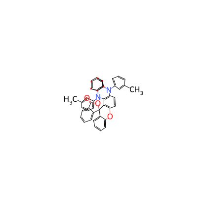 Cc1cccc(N(c2ccccc2)c2ccc3c(c2N(c2ccccc2)c2cccc(C)c2)C2(OC(=O)c4ccccc42)c2ccccc2O3)c1